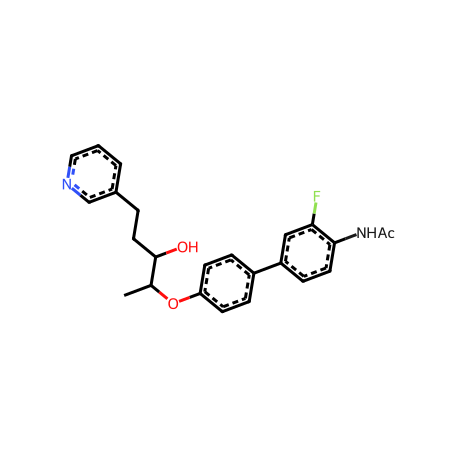 CC(=O)Nc1ccc(-c2ccc(OC(C)C(O)CCc3cccnc3)cc2)cc1F